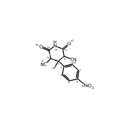 CC1(c2ccc([N+](=O)[O-])cc2)C(C#N)C(=O)NC(=O)C1C#N